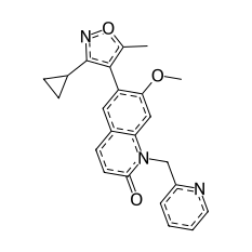 COc1cc2c(ccc(=O)n2Cc2ccccn2)cc1-c1c(C2CC2)noc1C